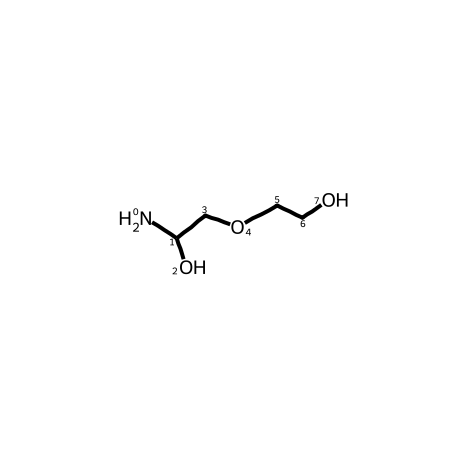 NC(O)COCCO